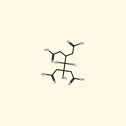 NC(CC(=O)O)(CC(=O)O)C(N)(O)C(CC(=O)O)CC(=O)O